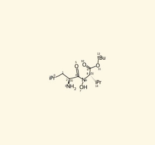 CC(C)C[C@H](N)C(=O)N(O)[C@H](C(=O)OC(C)(C)C)C(C)C